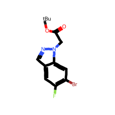 CC(C)(C)OC(=O)Cn1ncc2cc(F)c(Br)cc21